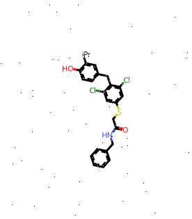 CC(C)c1cc(Cc2c(Cl)cc(SCC(=O)NCc3ccccc3)cc2Cl)ccc1O